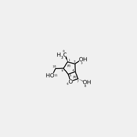 C[C@H]1C(O)C2C(O[C@H]2O)C1CO